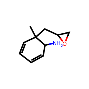 CC1(CC2CO2)C=CC=CC1N